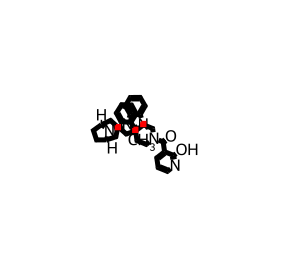 Cc1nc2ccccc2n1C1C[C@H]2CC[C@@H](C1)N2CCC1(c2ccccc2)CCN(C(=O)c2cccnc2O)CC1